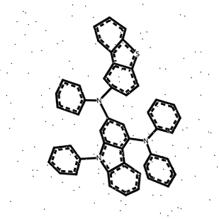 c1ccc(N(c2ccc3sc4ccccc4c3c2)c2cc(N(c3ccccc3)c3ccccc3)c3c4ccccc4n(-c4ccccc4)c3c2)cc1